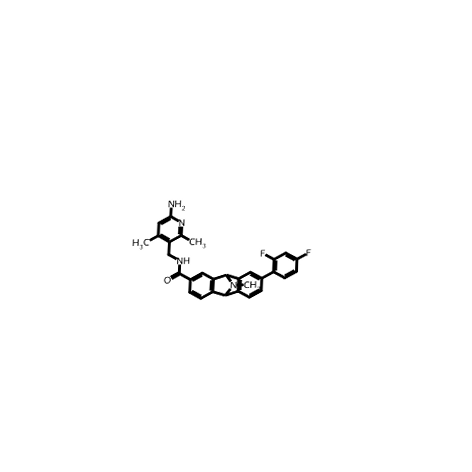 Cc1cc(N)nc(C)c1CNC(=O)c1ccc2c(c1)C1c3cc(-c4ccc(F)cc4F)ccc3C2N1C